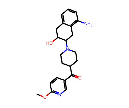 COc1ccc(C(=O)C2CCN(C3Cc4c(N)cccc4CC3O)CC2)cn1